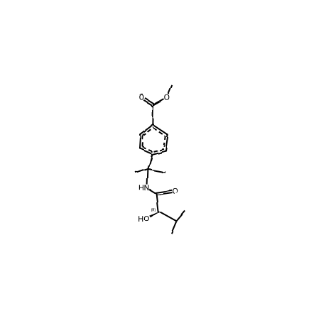 COC(=O)c1ccc(C(C)(C)NC(=O)[C@H](O)C(C)C)cc1